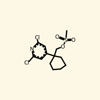 CS(=O)(=O)OCC1(c2cc(Cl)nc(Cl)c2)CCCCC1